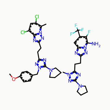 COc1ccc(Cn2nc(CCc3nc4c(Cl)cc(Cl)c(C)n4n3)nc2N2CCCC2)cc1.Cn1nc(N2CCCC2)nc1CCc1nc2cc(C(F)(F)F)c(F)c(N)n2n1